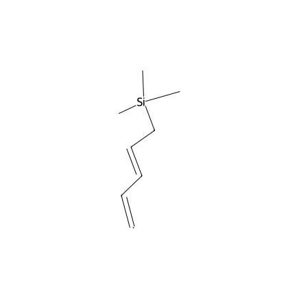 [CH]=CC=CC[Si](C)(C)C